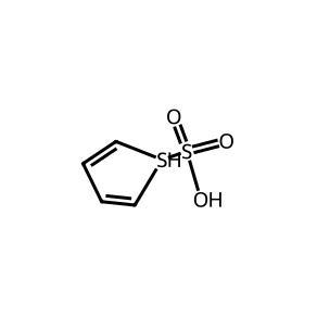 O=S(=O)(O)[SH]1C=CC=C1